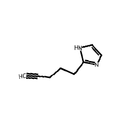 C#CCCCc1ncc[nH]1